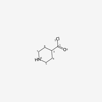 O=C(Cl)C1CCNCC1